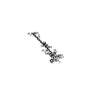 NC[C@@H](C(=O)N(C(=O)C[C@H](N)O)[C@@H](CN)C(=O)N[C@H](CCC[C@H](N)[C@H](O)CC(=O)NC(=O)CNCCCNCCCCN=C(N)N)C(=O)O)c1ccccc1